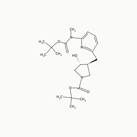 CN(C(=O)OC(C)(C)C)c1cccc(C[C@H]2CN(C(=O)OC(C)(C)C)C[C@@H]2O)n1